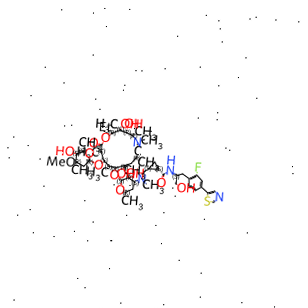 CC[C@H]1OC(=O)[C@H](C)[C@@H](O[C@H]2C[C@@](C)(OC)[C@@H](O)[C@H](C)O2)[C@H](C)[C@@H](O[C@@H]2O[C@H](C)C[C@H](N(C)C[C@H]3C[C@@H]3C(=O)N[C@H](CO)Cc3ccc(-c4cncs4)cc3F)[C@H]2O)[C@](C)(O)C[C@@H](C)CN(C)[C@H](C)[C@@H](O)[C@]1(C)O